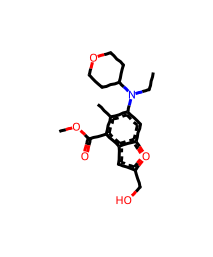 CCN(c1cc2oc(CO)cc2c(C(=O)OC)c1C)C1CCOCC1